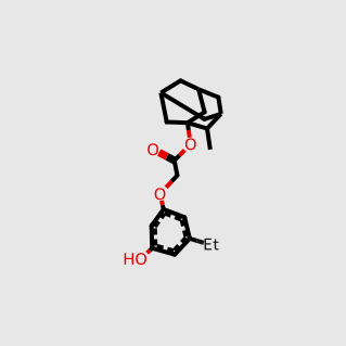 CCc1cc(O)cc(OCC(=O)OC23CC4CC(CC(C4)C2C)C3)c1